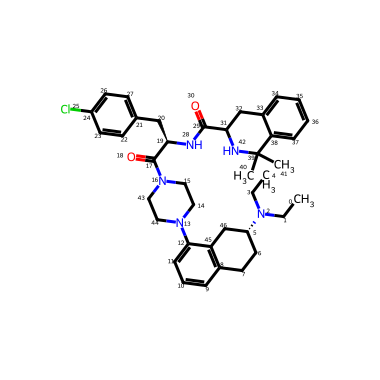 CCN(CC)[C@@H]1CCc2cccc(N3CCN(C(=O)[C@@H](Cc4ccc(Cl)cc4)NC(=O)C4Cc5ccccc5C(C)(C)N4)CC3)c2C1